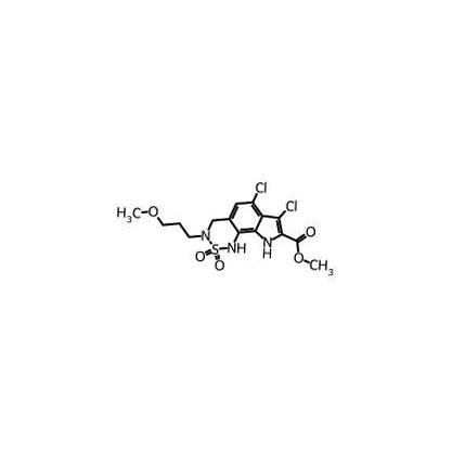 COCCCN1Cc2cc(Cl)c3c(Cl)c(C(=O)OC)[nH]c3c2NS1(=O)=O